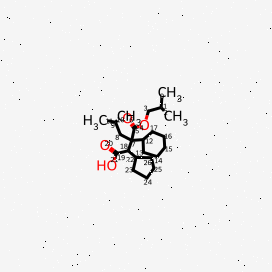 CC(C)COC(=O)C(CC(C)C)(C1CCCCC1)C(C(=O)O)C1CCCC1